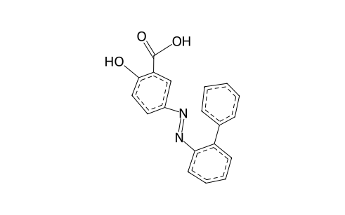 O=C(O)c1cc(N=Nc2ccccc2-c2ccccc2)ccc1O